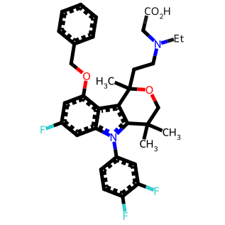 CCN(CCC1(C)OCC(C)(C)c2c1c1c(OCc3ccccc3)cc(F)cc1n2-c1ccc(F)c(F)c1)CC(=O)O